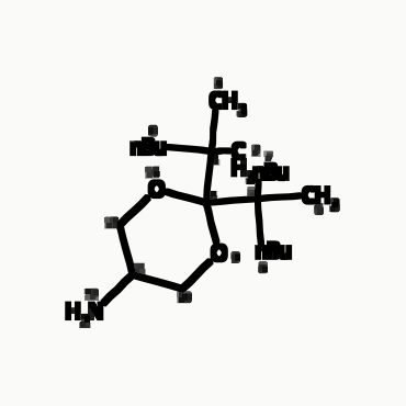 CCCCC(C)(C)C1(C(C)(CCCC)CCCC)OCC(N)CO1